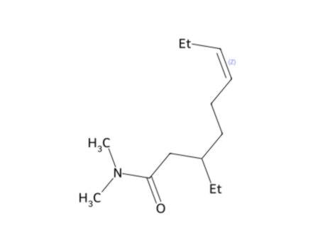 CC/C=C\CCC(CC)CC(=O)N(C)C